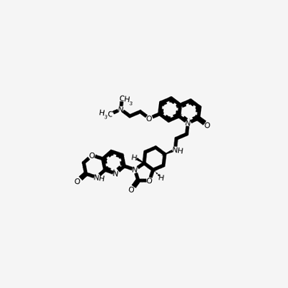 CN(C)CCOc1ccc2ccc(=O)n(CCN[C@@H]3CC[C@@H]4[C@@H](C3)OC(=O)N4c3ccc4c(n3)NC(=O)CO4)c2c1